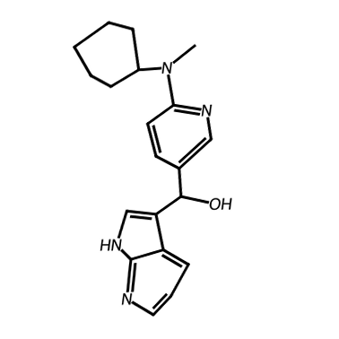 CN(c1ccc(C(O)c2c[nH]c3ncccc23)cn1)C1CCCCC1